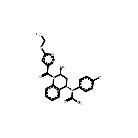 CCOc1cc(C(=O)N2c3ccccc3[C@H](N(C(C)=O)c3ccc(Cl)cc3)C[C@@H]2C)on1